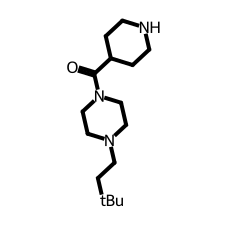 CC(C)(C)CCN1CCN(C(=O)C2CCNCC2)CC1